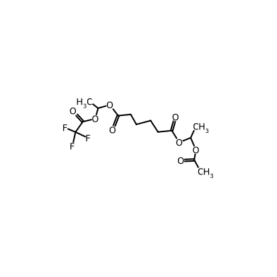 CC(=O)OC(C)OC(=O)CCCCC(=O)OC(C)OC(=O)C(F)(F)F